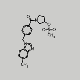 Cc1ccc2c(c1)ncn2Cc1ccc(C(=O)N2CCC(OS(C)(=O)=O)C2)cc1